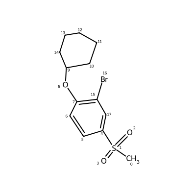 CS(=O)(=O)c1ccc(OC2CCCCC2)c(Br)c1